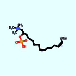 CCCCCCCCC/C=C\CCC/C=C\CCCCCC(C[N+](C)(C)C)OP(=O)([O-])O